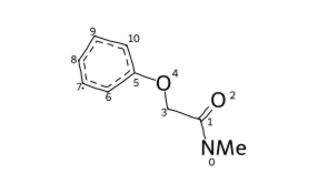 CNC(=O)COc1c[c]ccc1